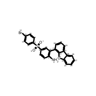 Nc1ccc(S(=O)(=O)c2ccc(Br)cc2)cc1-c1cccc2c1oc1ccccc12